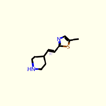 Cc1cnc(/C=C/C2CCNCC2)s1